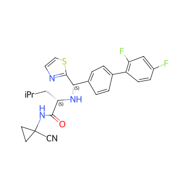 CC(C)C[C@H](N[C@@H](c1ccc(-c2ccc(F)cc2F)cc1)c1nccs1)C(=O)NC1(C#N)CC1